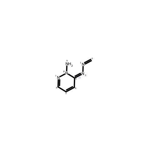 C=N/N=c1/cccnn1N